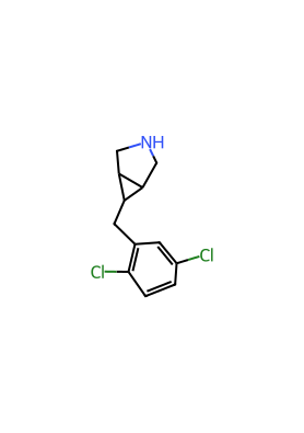 Clc1ccc(Cl)c(CC2C3CNCC32)c1